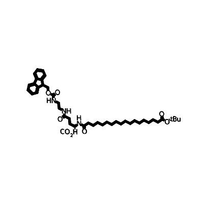 CC(C)(C)OC(=O)CCCCCCCCCCCCCCCCC(=O)N[C@@H](CCC(=O)NCCNC(=O)OCC1c2ccccc2-c2ccccc21)C(=O)O